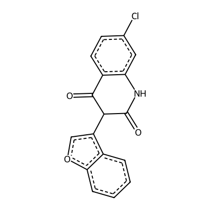 O=C1Nc2cc(Cl)ccc2C(=O)C1c1coc2ccccc12